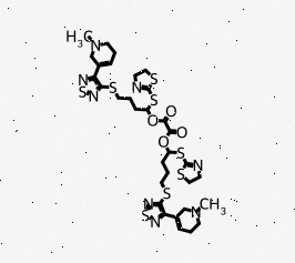 CN1CCC=C(c2nsnc2SCCCC(OC(=O)C(=O)OC(CCCSc2nsnc2C2=CCCN(C)C2)SC2=NCCS2)SC2=NCCS2)C1